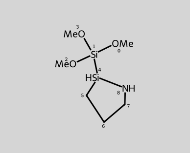 CO[Si](OC)(OC)[SiH]1CCCN1